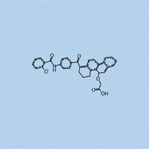 O=C(O)COC1C=c2ccccc2=c2ccc3c(c21)CCCC=3C(=O)c1ccc(NC(=O)c2ccccc2Cl)cc1